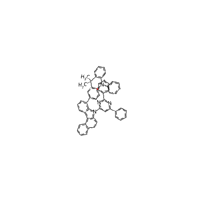 CC1(C)c2ccccc2N(c2ccccc2)c2ccc(-c3cccc4c5c6ccccc6ccc5n(-c5cc(-c6ccccc6)nc(-c6ccccc6)n5)c34)cc21